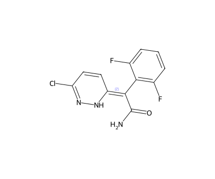 NC(=O)/C(=C1/C=CC(Cl)=NN1)c1c(F)cccc1F